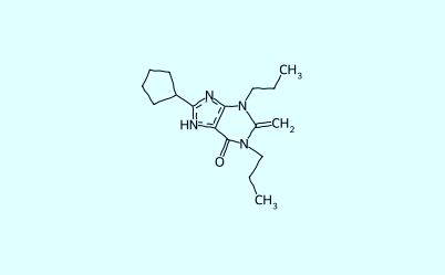 C=C1N(CCC)C(=O)c2[nH]c(C3CCCC3)nc2N1CCC